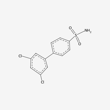 NS(=O)(=O)c1ccc(-c2cc(Cl)cc(Cl)c2)cc1